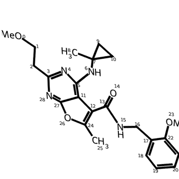 COCCc1nc(NC2(C)CC2)c2c(C(=O)NCc3ccccc3OC)c(C)oc2n1